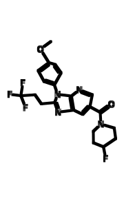 COc1ccc(-n2c(CCC(F)(F)F)nc3cc(C(=O)N4CCC(F)CC4)cnc32)cc1